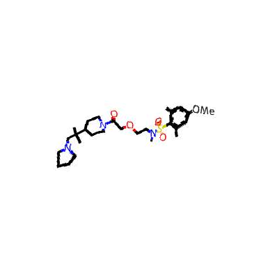 COc1cc(C)c(S(=O)(=O)N(C)CCOCC(=O)N2CCC(C(C)(C)CN3CCCC3)CC2)c(C)c1